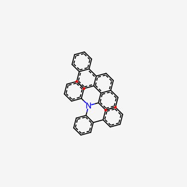 c1ccc(-c2ccccc2N(c2ccccc2)c2cccc3ccc4c5ccccc5ccc4c23)cc1